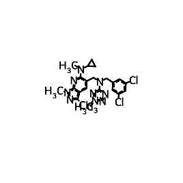 Cc1nn(C)c2nc(N(C)C3CC3)c(CN(Cc3cc(Cl)cc(Cl)c3)c3nnn(C)n3)cc12